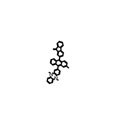 C=C1c2ccccc2-c2ccc(-c3c4ccccc4c(-c4ccc5c(c4)N(C)c4ccccc4N5C)c4cc(C)ccc34)cc21